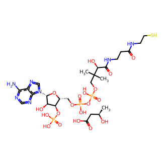 CC(C)(COP(=O)(O)OP(=O)(O)OC[C@H]1O[C@@H](n2cnc3c(N)ncnc32)[C@H](O)[C@@H]1OP(=O)(O)O)[C@@H](O)C(=O)NCCC(=O)NCCS.C[C@@H](O)CC(=O)O